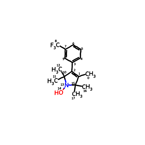 CC1=C(c2cccc(C(F)(F)F)c2)C(C)(C)N(O)C1(C)C